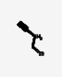 C#C[SiH2]CCC